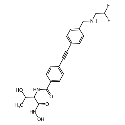 CC(O)C(NC(=O)c1ccc(C#Cc2ccc(CNCC(F)F)cc2)cc1)C(=O)NO